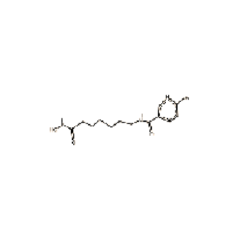 CC(C)c1ccc(C(=O)NCCCCCCC(=O)NO)cn1